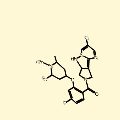 CCCN1C(C)CC(Oc2cc(F)ccc2C(=O)N2CC3=C4N=CC(Cl)=CN4NC3C2)CC1CC